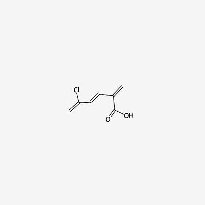 C=C(Cl)C=CC(=C)C(=O)O